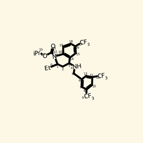 CCC1CC(NCc2cc(C(F)(F)F)cc(C(F)(F)F)c2)c2cc(C(F)(F)F)ccc2N1C(=O)OC(C)C